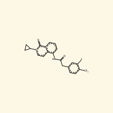 O=C(Cc1ccc(C(F)(F)F)c(F)c1)Nc1cccc2c(=O)n(C3CC3)ccc12